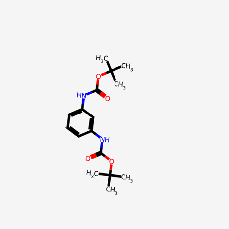 CC(C)(C)OC(=O)Nc1c[c]cc(NC(=O)OC(C)(C)C)c1